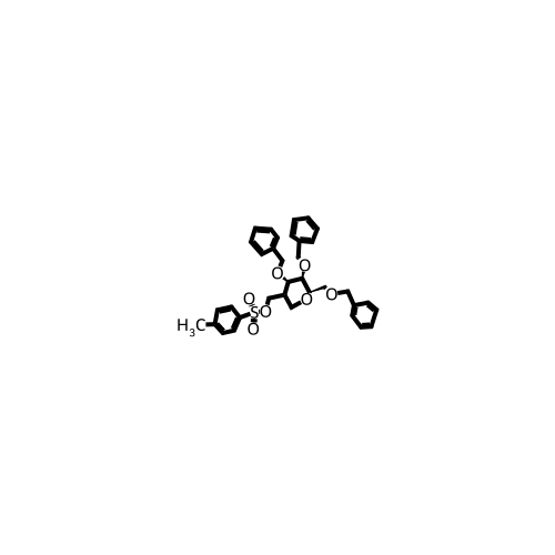 Cc1ccc(S(=O)(=O)OCC2CO[C@H](COCc3ccccc3)[C@H](OCc3ccccc3)[C@@H]2OCc2ccccc2)cc1